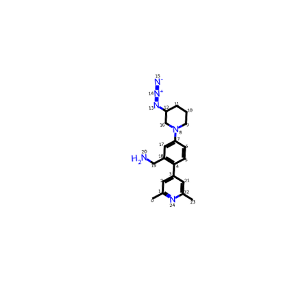 Cc1cc(-c2ccc(N3CCCC(N=[N+]=[N-])C3)cc2CN)cc(C)n1